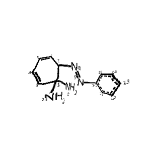 NC1(N)C=CC=CC1N=Nc1ccccc1